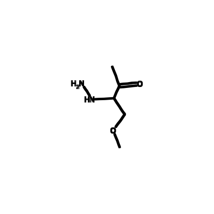 COCC(NN)C(C)=O